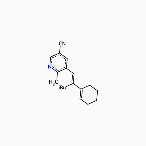 CCC(C)/C(=C\c1cc(C#N)cnc1C)C1=CCCCC1